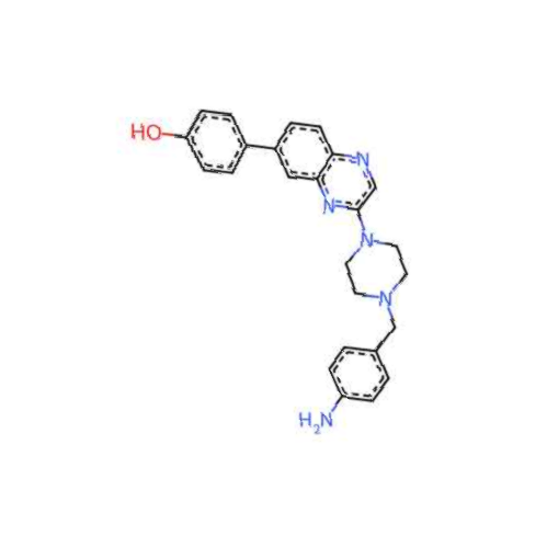 Nc1ccc(CN2CCN(c3cnc4ccc(-c5ccc(O)cc5)cc4n3)CC2)cc1